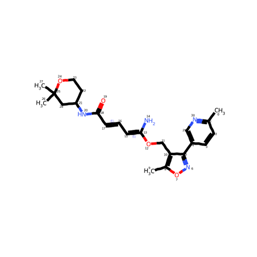 Cc1ccc(-c2noc(C)c2CO/C(N)=C/C=C/C(=O)NC2CCOC(C)(C)C2)cn1